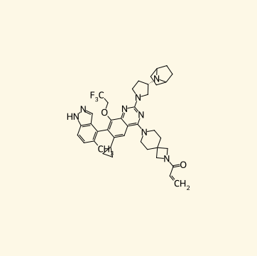 C=CC(=O)N1CC2(CCN(c3nc(N4CC[C@H](N5C6CCC5CC6)C4)nc4c(OCC(F)(F)F)c(-c5c(C)ccc6[nH]ncc56)c(C5CC5)cc34)CC2)C1